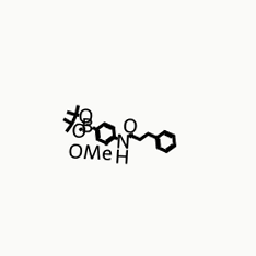 COc1cc(B2OC(C)(C)C(C)(C)O2)ccc1NC(=O)CCc1ccccc1